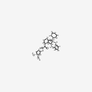 COc1ccc(CNC(=O)c2cccc3c2c2c(n3-c3ccccc3)Cn3cccc3C2)cc1OC